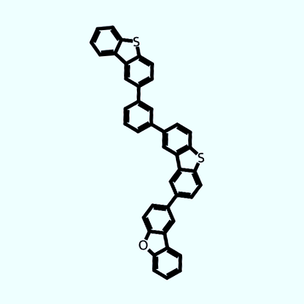 c1cc(-c2ccc3sc4ccccc4c3c2)cc(-c2ccc3sc4ccc(-c5ccc6oc7ccccc7c6c5)cc4c3c2)c1